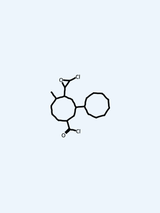 CC1CCCC(C(=O)Cl)CC(C2CCCCCCCC2)CC1C1OC1Cl